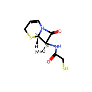 CO[C@@]1(NC(=O)CS)C(=O)N2C=CCS[C@H]21